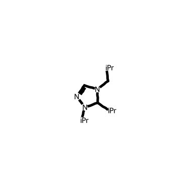 CC(C)CN1C=NN(C(C)C)C1C(C)C